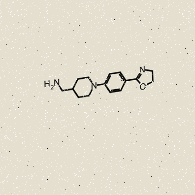 NCC1CCN(c2ccc(C3=NCCO3)cc2)CC1